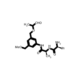 COCc1cc(COC(C)C=O)cc(NC(=O)[C@H](C)NC(=O)[C@@H](N)C(C)C)c1